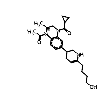 CC(=O)N1c2ccc(C3CC=C(CCCCO)NC3)cc2N(C(=O)C2CC2)C[C@@H]1C